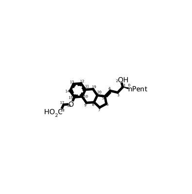 CCCCC[C@H](O)C/C=C1\CCC2Cc3c(cccc3OCC(=O)O)CC12